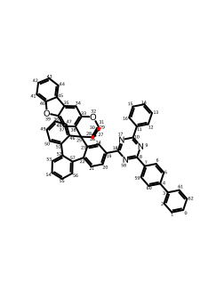 c1ccc(-c2ccc(-c3nc(-c4ccccc4)nc(-c4ccc5c(c4)C4(c6ccccc6Oc6cc7c(cc64)oc4ccccc47)c4ccccc4-c4ccccc4-5)n3)cc2)cc1